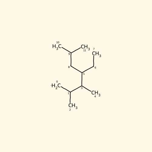 [CH2]C(C)C(C)C(CC)CC(C)C